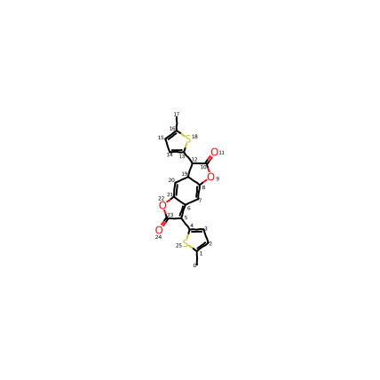 Cc1ccc(C2=C3C=C4OC(=O)C(c5ccc(C)s5)C4C=C3OC2=O)s1